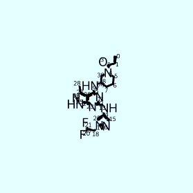 C=CC(=O)N1CCC[C@@H](Nc2nc(Nc3cnn(CC(F)F)c3)nc3[nH]nc(C)c23)C1